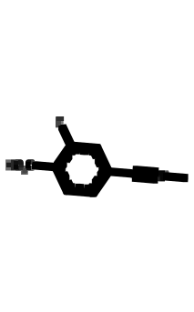 C[N+]#Cc1ccc(C(=O)O)c(F)c1